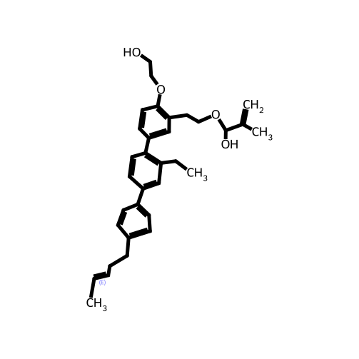 C=C(C)C(O)OCCc1cc(-c2ccc(-c3ccc(CC/C=C/C)cc3)cc2CC)ccc1OCCO